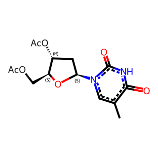 CC(=O)OC[C@@H]1O[C@H](n2cc(C)c(=O)[nH]c2=O)C[C@H]1OC(C)=O